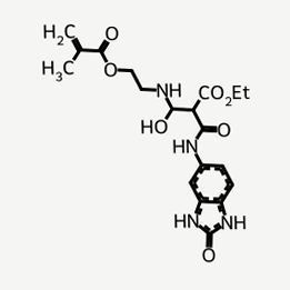 C=C(C)C(=O)OCCNC(O)C(C(=O)Nc1ccc2[nH]c(=O)[nH]c2c1)C(=O)OCC